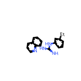 CCc1cccc(NC(=N)Nc2cccc3cccnc23)c1